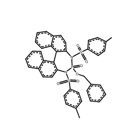 Cc1ccc(S(=O)(=O)N2c3ccc4ccccc4c3-c3c(ccc4ccccc34)N(S(=O)(=O)c3ccc(C)cc3)P2(=O)OCc2ccccc2)cc1